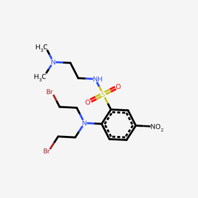 CN(C)CCNS(=O)(=O)c1cc([N+](=O)[O-])ccc1N(CCBr)CCBr